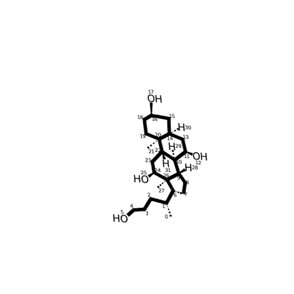 C[C@H](CCCO)[C@H]1CC[C@H]2[C@@H]3[C@H](O)C[C@@H]4C[C@H](O)CC[C@]4(C)[C@H]3C[C@H](O)[C@]12C